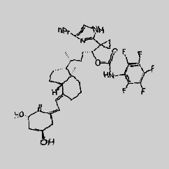 C=C1/C(=C\C=C2/CCC[C@]3(C)[C@@H]([C@H](C)CC[C@@H](OC(=O)Nc4c(F)c(F)c(F)c(F)c4F)C4(c5nc(CCC)c[nH]5)CC4)CC[C@@H]23)C[C@@H](O)C[C@@H]1O